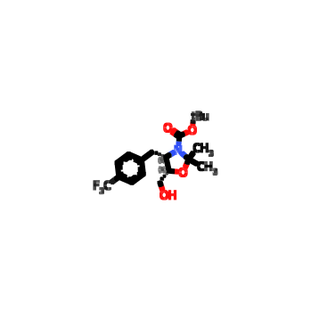 CC(C)(C)OC(=O)N1[C@@H](Cc2ccc(C(F)(F)F)cc2)[C@@H](CO)OC1(C)C